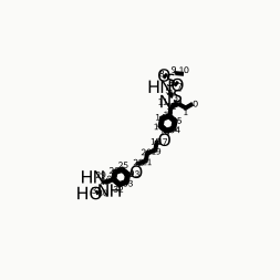 CCc1sc(NS(=O)(=O)CC)nc1-c1ccc(OCCCCCOc2ccc(C(=N)NO)cc2)cc1